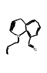 C=CCN1C=CCc2cccc(C=O)c21